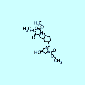 CCOC(=O)C1CC2CC(CN3C[C@H](O)C[C@H]3C(=O)OCC)CCC2CN1C(=O)OC